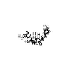 CC(=O)CC[C@H](NC(=O)N[C@@H](CSCc1ccc([18F])cc1)C(=O)O)C(=O)O